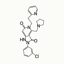 O=c1c2c(CN3CCCC3)n(CCc3ccccn3)c(=O)cc2[nH]n1-c1cccc(Cl)c1